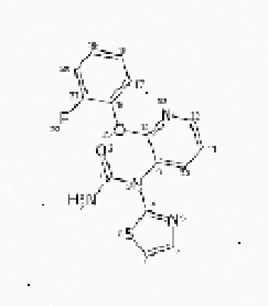 NC(=O)N(c1nccs1)c1cccnc1Oc1ccccc1F